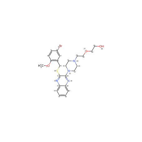 COc1ccc(Br)cc1CSc1nc2ccccc2nc1N1CCN(CCOCCO)CC1